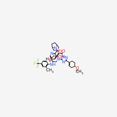 CCc1c(N2CC3CCC(C2)N3C(=O)c2ncccc2O)c(=O)n2nc(C3=CCC(OC)CC3)nc2n1CC(=O)Nc1ccc(C(F)(F)F)cc1C